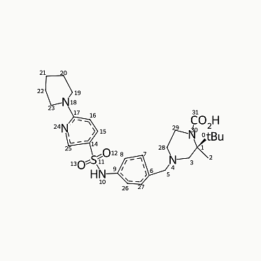 CC(C)(C)[C@@]1(C)CN(Cc2ccc(NS(=O)(=O)c3ccc(N4CCCCC4)nc3)cc2)CCN1C(=O)O